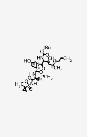 C=CCO[C@@H](C)C[C@@H](C)C(NC(=O)OC(C)(C)C)C(=O)N1C[C@H](O)C[C@H]1C(=O)N[C@]1(C(=O)NS(=O)(=O)C2(C)CC2)C[C@H]1C=C